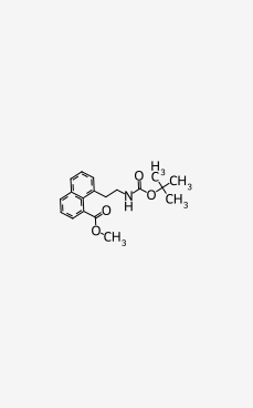 COC(=O)c1cccc2cccc(CCNC(=O)OC(C)(C)C)c12